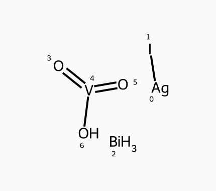 [Ag][I].[BiH3].[O]=[V](=[O])[OH]